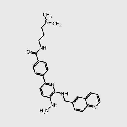 CN(C)CCCNC(=O)c1ccc(-c2ccc(NN)c(NCc3ccc4ncccc4c3)n2)cc1